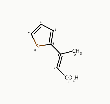 C/C(=C\C(=O)O)c1cccs1